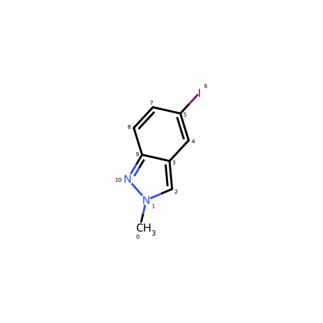 Cn1cc2cc(I)ccc2n1